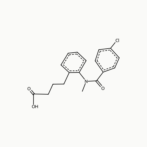 CN(C(=O)c1ccc(Cl)cc1)c1ccccc1CCCC(=O)O